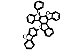 c1ccc(-n2c3ccccc3c3c2c2oc4ccccc4c2c2c4ccccc4n(-c4ccc5oc6ccccc6c5c4)c23)cc1